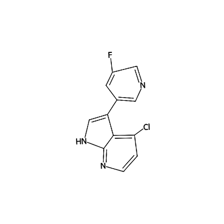 Fc1cncc(-c2c[nH]c3nccc(Cl)c23)c1